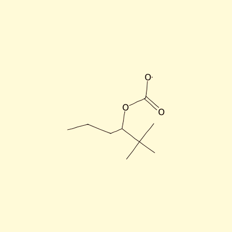 CCCC(OC([O])=O)C(C)(C)C